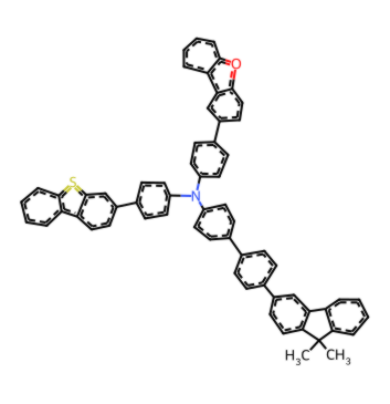 CC1(C)c2ccccc2-c2cc(-c3ccc(-c4ccc(N(c5ccc(-c6ccc7c(c6)sc6ccccc67)cc5)c5ccc(-c6ccc7oc8ccccc8c7c6)cc5)cc4)cc3)ccc21